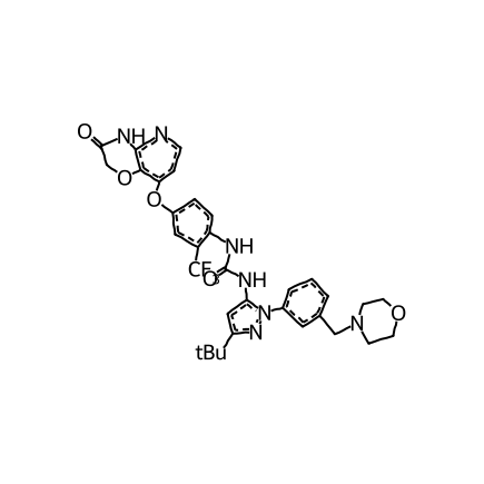 CC(C)(C)c1cc(NC(=O)Nc2ccc(Oc3ccnc4c3OCC(=O)N4)cc2C(F)(F)F)n(-c2cccc(CN3CCOCC3)c2)n1